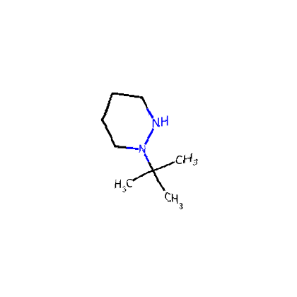 CC(C)(C)N1CCCCN1